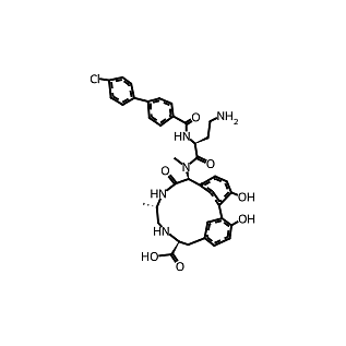 C[C@H]1CN[C@H](C(=O)O)Cc2ccc(O)c(c2)-c2cc(ccc2O)[C@H](N(C)C(=O)[C@H](CCN)NC(=O)c2ccc(-c3ccc(Cl)cc3)cc2)C(=O)N1